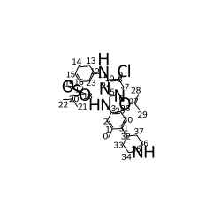 Cc1cc(Nc2ncc(Cl)c(Nc3cccc(S(=O)(=O)C(C)C)c3)n2)c(OC(C)C)cc1C1CCNCC1